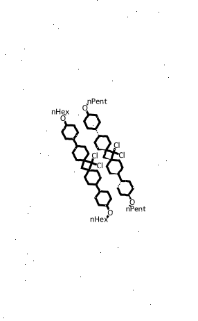 CCCCCCOC1CCC(C2CCC3(CC2)CC2(CCC(C4CCC(OCCCCCC)CC4)CC2)C3(Cl)Cl)CC1.CCCCCOC1CCC([C@H]2CC[C@]3(CC2)C[C@@]2(CC[C@H]([C@H]4CC[C@H](OCCCCC)CC4)CC2)C3(Cl)Cl)CC1